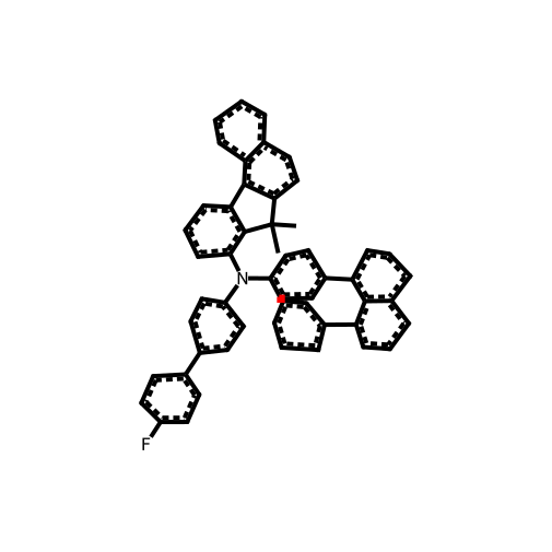 CC1(C)c2ccc3ccccc3c2-c2cccc(N(c3ccc(-c4ccc(F)cc4)cc3)c3ccc(-c4cccc5cccc(-c6ccccc6)c45)cc3)c21